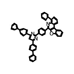 c1ccc(-c2ccc(-c3cc(-c4ccc(-c5ccccc5)cc4)nc(-c4ccc(-c5nc6c(-c7ccccc7)cccc6c6c5oc5ccccc56)cc4)n3)cc2)cc1